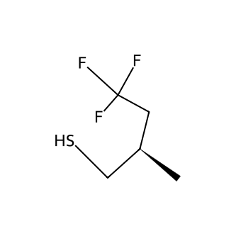 C[C@@H](CS)CC(F)(F)F